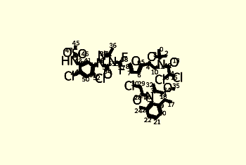 CC1(C)OC(c2ccco2)CN1C(=O)C(Cl)Cl.CCc1cccc(C)c1N(C(=O)CCl)C(C)COC.Cc1nn(-c2cc(NS(C)(=O)=O)c(Cl)cc2Cl)c(=O)n1C(F)F